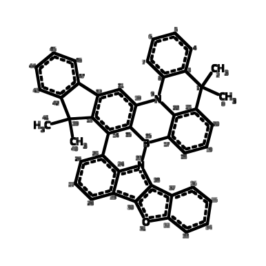 CC1(C)c2ccccc2N2c3cc4c(c5c3B(c3cccc1c32)n1c2c-5cccc2c2oc3ccccc3c21)C(C)(C)c1ccccc1-4